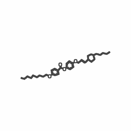 CCCCCCCCCOc1ccc(C(=O)Oc2ccc(OCC=CC3CCC(CCCCC)CC3)cc2)cc1